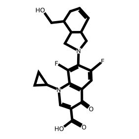 O=C(O)c1cn(C2CC2)c2c(F)c(N3CC4C=CCC(CO)C4C3)c(F)cc2c1=O